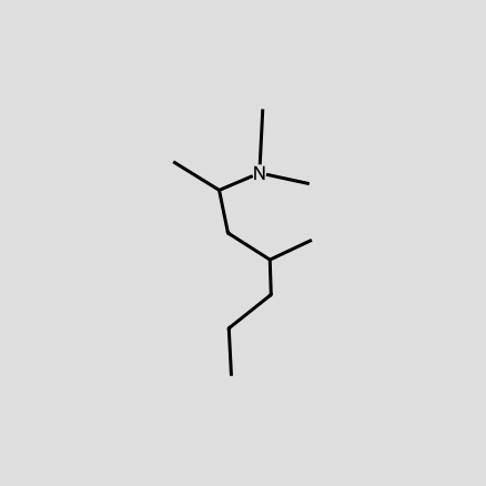 CCCC(C)CC(C)N(C)C